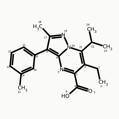 CCc1c(C(=O)O)nc2c(-c3cccc(C)c3)c(C)nn2c1C(C)C